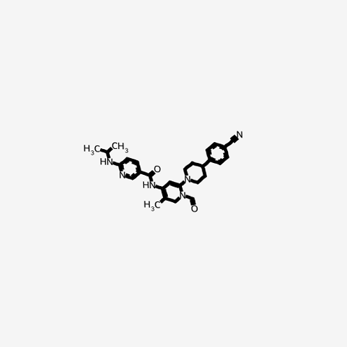 CC1=C(NC(=O)c2ccc(NC(C)C)nc2)C=C(N2CCC(c3ccc(C#N)cc3)CC2)N(C=O)C1